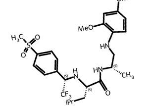 COc1ccc(NC[C@H](C)NC(=O)[C@H](CC(C)C)N[C@@H](c2ccc(S(C)(=O)=O)cc2)C(F)(F)F)c(OC)c1